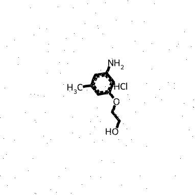 Cc1cc(N)cc(OCCO)c1.Cl